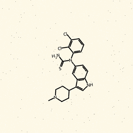 CN1CCC(c2c[nH]c3ccc(N(C(N)=S)c4cccc(Cl)c4Cl)cc23)CC1